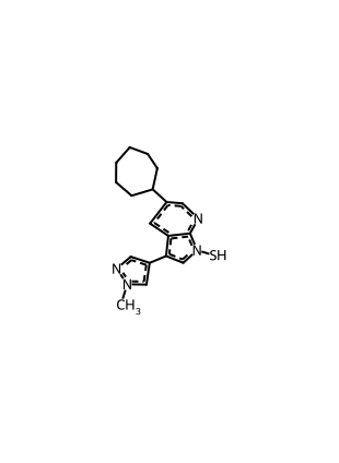 Cn1cc(-c2cn(S)c3ncc(C4CCCCCC4)cc23)cn1